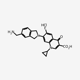 Cl.NCc1ccc2c(c1)CN(c1cc3c(cc1F)c(=O)c(C(=O)O)cn3C1CC1)C2